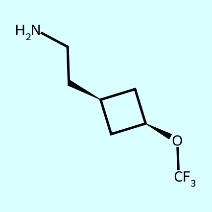 NCC[C@H]1C[C@@H](OC(F)(F)F)C1